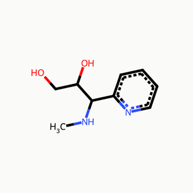 CNC(c1ccccn1)C(O)CO